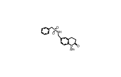 CCCN1C(=O)CCc2cc(CNS(=O)(=O)Cc3ccccc3)ccc21